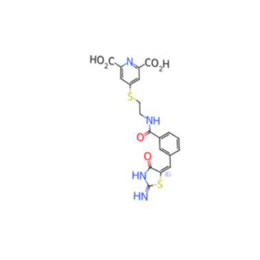 N=C1NC(=O)/C(=C\c2cccc(C(=O)NCCSc3cc(C(=O)O)nc(C(=O)O)c3)c2)S1